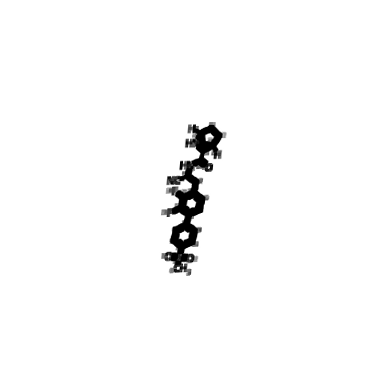 CS(=O)(=O)c1ccc(-c2ccc(C[C@@H](C#N)NC(=O)[C@H]3N[C@@H]4CC[C@H]3C4)c(F)c2F)cc1